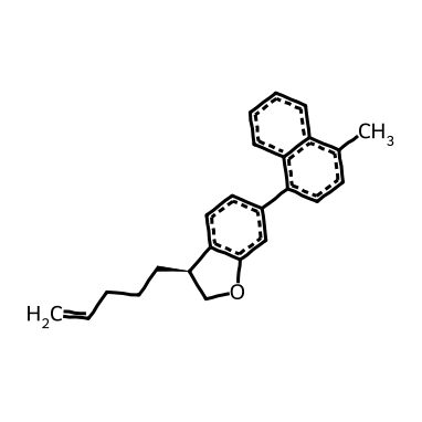 C=CCCC[C@@H]1COc2cc(-c3ccc(C)c4ccccc34)ccc21